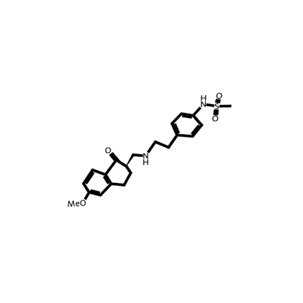 COc1ccc2c(c1)CC[C@H](CNCCc1ccc(NS(C)(=O)=O)cc1)C2=O